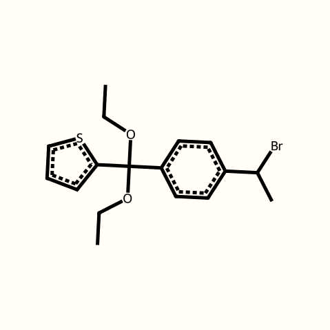 CCOC(OCC)(c1ccc(C(C)Br)cc1)c1cccs1